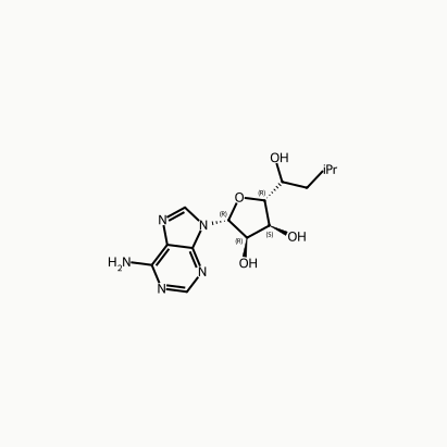 CC(C)CC(O)[C@H]1O[C@@H](n2cnc3c(N)ncnc32)[C@H](O)[C@@H]1O